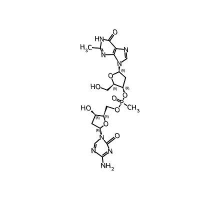 Cc1nc2c(ncn2[C@H]2C[C@@H](OP(C)(=O)OC[C@H]3O[C@@H](n4cnc(N)nc4=O)C[C@H]3O)[C@@H](CO)O2)c(=O)[nH]1